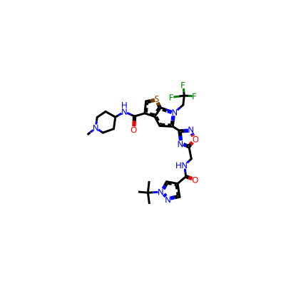 CN1CCC(NC(=O)c2csc3c2cc(-c2noc(CNC(=O)c4cnn(C(C)(C)C)c4)n2)n3CC(F)(F)F)CC1